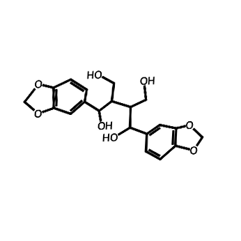 OCC(C(O)c1ccc2c(c1)OCO2)C(CO)C(O)c1ccc2c(c1)OCO2